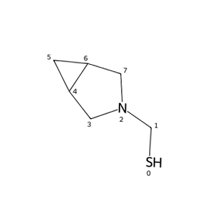 SCN1CC2CC2C1